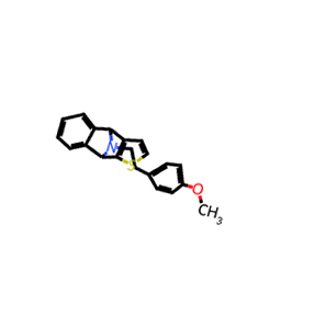 COc1ccc(CCN2C3c4ccccc4C2c2sccc23)cc1